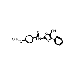 N#Cc1sc(NC(=O)C2CCC(OC=O)CC2)nc1-c1ccccc1